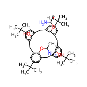 CC(N)Oc1c2cc(C(C)(C)C)cc1Cc1cc(C(C)(C)C)cc(c1O)Cc1cc(C(C)(C)C)cc(c1OC(C)N)Cc1cc(C(C)(C)C)cc(c1O)C2